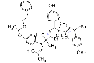 CC/C(=C\C(c1ccc(O)cc1)C(C)(C)/C(=C/C(c1ccc(OC(C)=O)cc1)C(C)(C)C)CC)C(C)(C)C(C=C(C)C)c1ccc(OC(C)OCCc2ccccc2)cc1